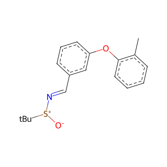 Cc1ccccc1Oc1cccc(/C=N/[S+]([O-])C(C)(C)C)c1